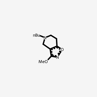 CCCCN1CCc2onc(OC)c2C1